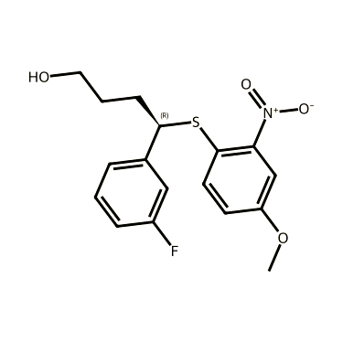 COc1ccc(S[C@H](CCCO)c2cccc(F)c2)c([N+](=O)[O-])c1